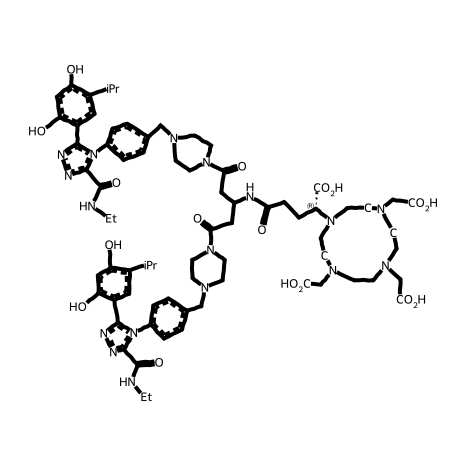 CCNC(=O)c1nnc(-c2cc(C(C)C)c(O)cc2O)n1-c1ccc(CN2CCN(C(=O)CC(CC(=O)N3CCN(Cc4ccc(-n5c(C(=O)NCC)nnc5-c5cc(C(C)C)c(O)cc5O)cc4)CC3)NC(=O)CC[C@H](C(=O)O)N3CCN(CC(=O)O)CCN(CC(=O)O)CCN(CC(=O)O)CC3)CC2)cc1